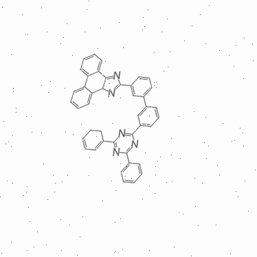 C1=CCCC(c2nc(-c3ccccc3)nc(-c3cccc(-c4cccc(C5=NC6C(=N5)c5ccccc5-c5ccccc56)c4)c3)n2)=C1